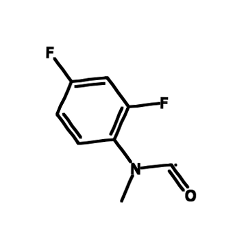 CN([C]=O)c1ccc(F)cc1F